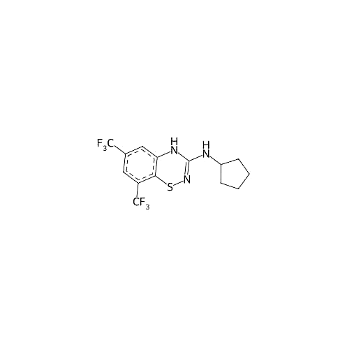 FC(F)(F)c1cc2c(c(C(F)(F)F)c1)SN=C(NC1CCCC1)N2